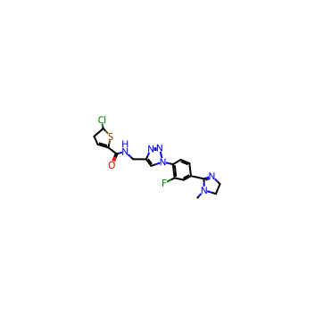 CN1CCN=C1c1ccc(-n2cc(CNC(=O)C3=CCC(Cl)S3)nn2)c(F)c1